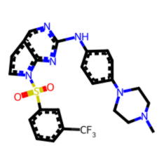 CN1CCN(c2ccc(Nc3ncc4ccn(S(=O)(=O)c5cccc(C(F)(F)F)c5)c4n3)cc2)CC1